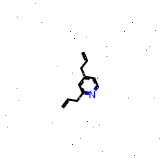 C=CCc1[c]cnc(CC=C)c1